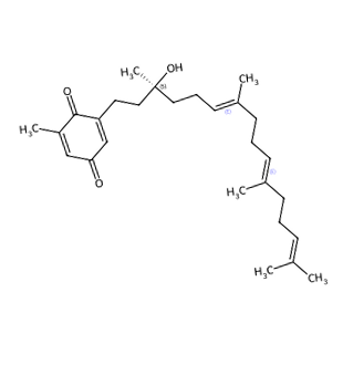 CC(C)=CCC/C(C)=C/CC/C(C)=C/CC[C@](C)(O)CCC1=CC(=O)C=C(C)C1=O